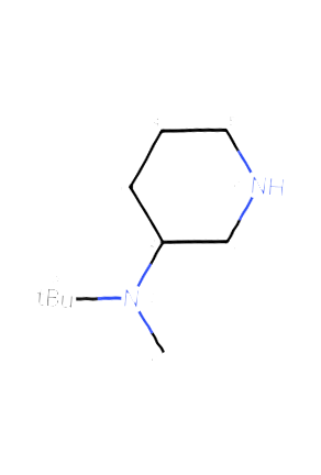 CN(C1CCCNC1)C(C)(C)C